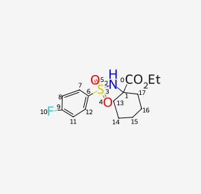 CCOC(=O)C1(NS(=O)(=O)c2ccc(F)cc2)CCCCC1